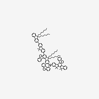 CCCCCCCC1(CCCCCCC)c2ccccc2-c2ccc(-c3ccc4c(c3)C(C)(C)c3cc(-c5cc6c(c7c5oc5ccccc57)-c5ccc(N(c7ccc8c(c7)C(C)(C)c7c9c(c%10oc%11ccccc%11c%10c7-8)-c7ccccc7C9(C)C)c7cccc8oc9ccccc9c78)cc5C6(CCCCCCC)CCCCCCC)ccc3-4)cc21